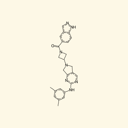 Cc1cc(C)cc(Nc2ncc3c(n2)CN(C2CN(C(=O)c4ccc5[nH]ncc5c4)C2)C3)c1